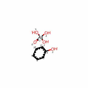 O=[As](O)(O)O.Oc1ccccc1